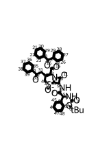 CC(C)(C)OC(=O)NC(C(=O)NC1C(=O)N2C(C(=O)OC(c3ccccc3)c3ccccc3)=C(CC(=O)c3ccccc3)C[S+]([O-])C12)c1ccccc1